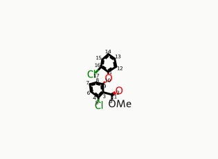 COC(=O)c1c(Cl)cccc1Oc1ccccc1Cl